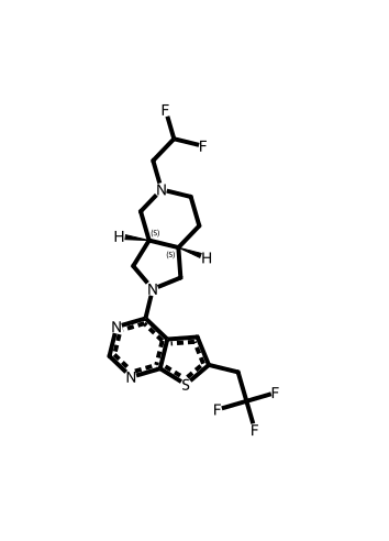 FC(F)CN1CC[C@@H]2CN(c3ncnc4sc(CC(F)(F)F)cc34)C[C@@H]2C1